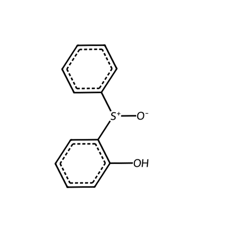 [O-][S+](c1ccccc1)c1ccccc1O